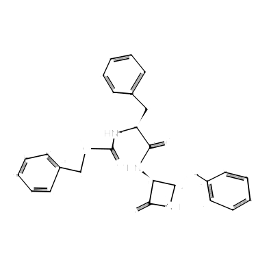 O=C(N[C@@H](Cc1ccccc1)C(=O)N[C@@H]1C(=O)N[C@H]1Sc1ccccc1)OCc1ccccc1